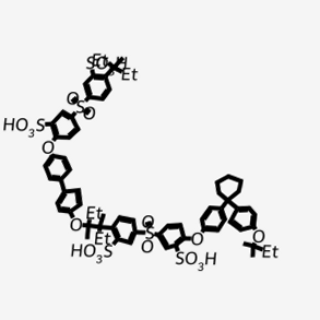 CCC(C)(C)Oc1ccc(C2(c3ccc(Oc4ccc(S(=O)(=O)c5ccc(C(C)(CC)C(C)(CC)Oc6ccc(-c7ccc(Oc8ccc(S(=O)(=O)c9ccc(C(C)(CC)CC)c(S(=O)(=O)O)c9)cc8S(=O)(=O)O)cc7)cc6)c(S(=O)(=O)O)c5)cc4S(=O)(=O)O)cc3)CCCCC2)cc1